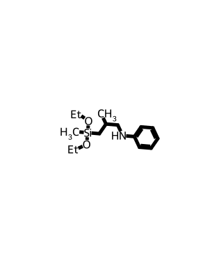 CCO[Si](C)(CC(C)CNc1ccccc1)OCC